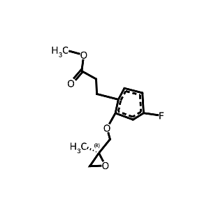 COC(=O)CCc1ccc(F)cc1OC[C@]1(C)CO1